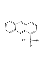 CC(C)[Si](c1cccc2cc3ccccc3cc12)(C(C)C)C(C)C